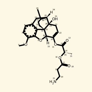 COc1ccc2c3c1O[C@H]1C(OC(=O)[C@H](C)OC(=O)CCN)=CC[C@@]4(O)[C@@H](C2)C(C)CC[C@]314